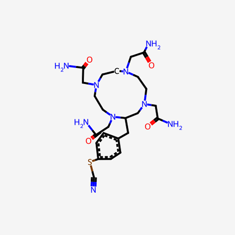 N#CSc1ccc(CC2CN(CC(N)=O)CCN(CC(N)=O)CCN(CC(N)=O)CCN2CC(N)=O)cc1